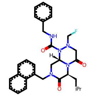 CC(C)C[C@H]1C(=O)N(Cc2cccc3ccccc23)C[C@H]2N1C(=O)CN(CF)N2C(=O)NCc1ccccc1